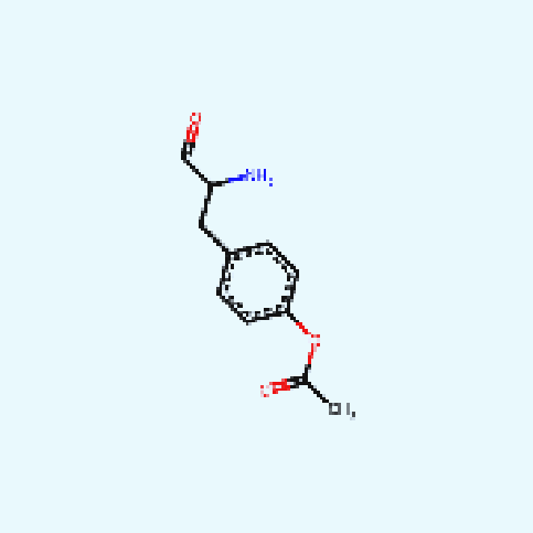 CC(=O)Oc1ccc(CC(N)[C]=O)cc1